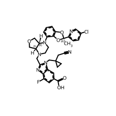 C[C@@]1(c2ccc(Cl)cn2)Oc2cccc(N3CCN(Cc4nc5c(F)cc(C(=O)O)cc5n4CC4(CC#N)CC4)[C@@H]4COC[C@@H]43)c2O1